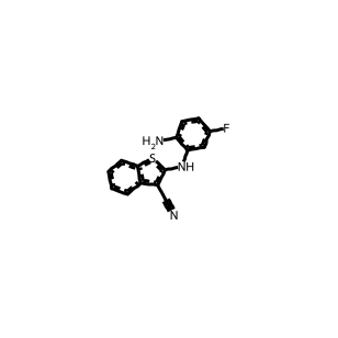 N#Cc1c(Nc2cc(F)ccc2N)sc2ccccc12